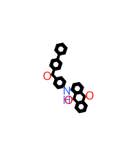 O=C(c1ccc(Nc2cccc3c2C(=O)c2ccccc2C3=O)cc1)c1ccc(-c2ccccc2)cc1